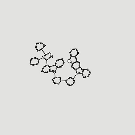 c1ccc(-c2nnc(-c3cccc4c3c3ccccc3n4-c3cccc(-c4cccc(-n5c6ccccc6c6cc7c(cc65)oc5ccccc57)c4)c3)n2-c2ccccc2)cc1